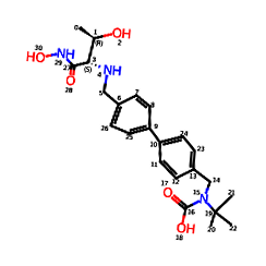 C[C@@H](O)[C@H](NCc1ccc(-c2ccc(CN(C(=O)O)C(C)(C)C)cc2)cc1)C(=O)NO